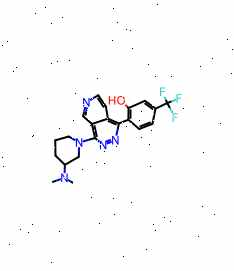 CN(C)C1CCCN(c2nnc(-c3ccc(C(F)(F)F)cc3O)c3ccncc23)C1